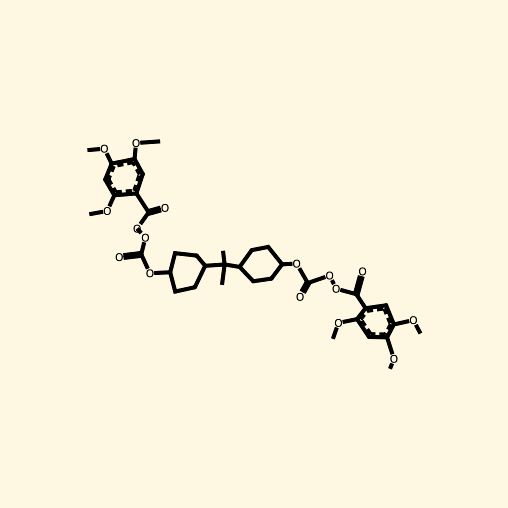 COc1cc(OC)c(C(=O)OOC(=O)OC2CCC(C(C)(C)C3CCC(OC(=O)OOC(=O)c4cc(OC)c(OC)cc4OC)CC3)CC2)cc1OC